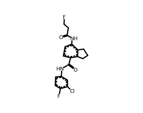 O=C(CCF)Nc1ccc(C(=O)Nc2ccc(F)c(Cl)c2)c2c1CCC2